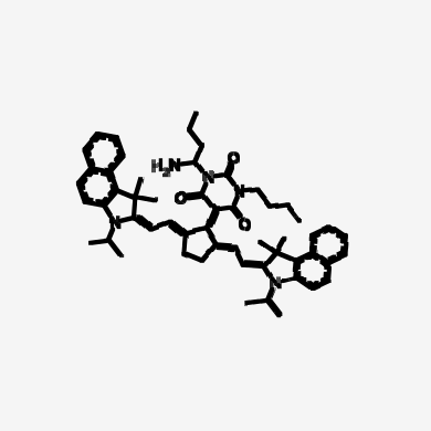 CCCCN1C(=O)C(=C2/C(=C/C=C3/N(C(C)C)c4ccc5ccccc5c4C3(C)C)CC/C2=C\C=C2\N(C(C)C)c3ccc4ccccc4c3C2(C)C)C(=O)N(C(N)CCC)C1=O